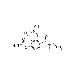 CCNC(=O)c1ccc(OC(N)=O)nc1CN(C)C